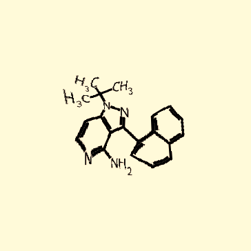 CC(C)(C)n1nc(-c2cccc3ccccc23)c2c(N)nccc21